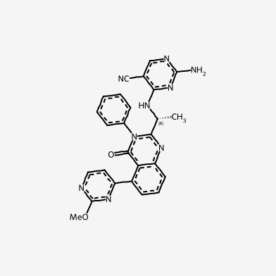 COc1nccc(-c2cccc3nc([C@@H](C)Nc4nc(N)ncc4C#N)n(-c4ccccc4)c(=O)c23)n1